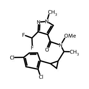 CON(C(=O)c1cn(C)nc1C(F)F)C(C)C1CC1c1ccc(Cl)cc1Cl